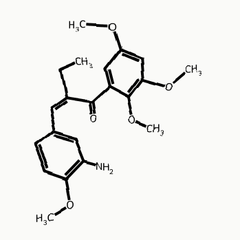 CCC(=Cc1ccc(OC)c(N)c1)C(=O)c1cc(OC)cc(OC)c1OC